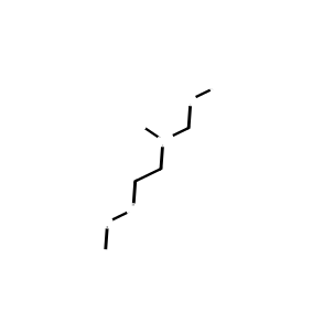 CSOCC[S+]([O-])CSO